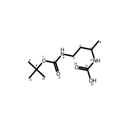 CC(CCNC(=O)OC(C)(C)C)NC(=O)O